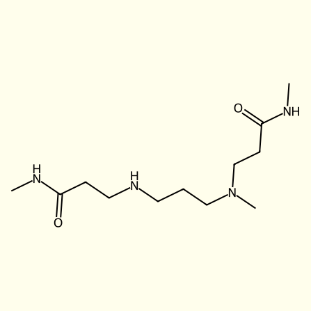 CNC(=O)CCNCCCN(C)CCC(=O)NC